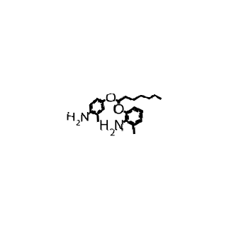 CCCCCCC(Oc1ccc(N)c(C)c1)Oc1cccc(C)c1N